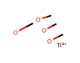 C[O-].C[O-].C[O-].C[O-].[Ti+4]